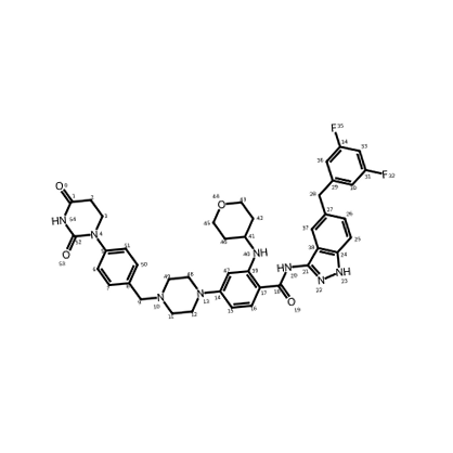 O=C1CCN(c2ccc(CN3CCN(c4ccc(C(=O)Nc5n[nH]c6ccc(Cc7cc(F)cc(F)c7)cc56)c(NC5CCOCC5)c4)CC3)cc2)C(=O)N1